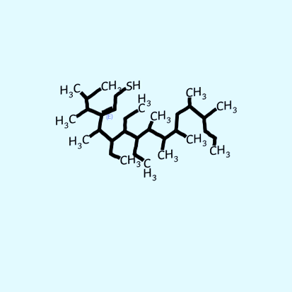 CCCC(C)C(C)CC(C)C(C)C(C)C(CC)C(CC)C(CC)C(C)/C(=C/CS)C(C)C(C)C